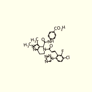 Cc1c2c(nn1C)CCN(C(=O)C=Cc1c(-n3cnnn3)ccc(Cl)c1F)C2C(=O)Nc1ccc(C(=O)O)cc1